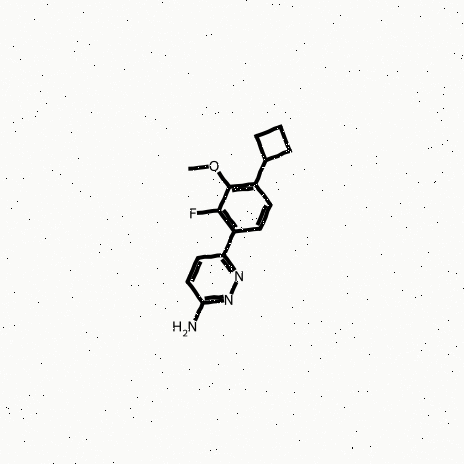 COc1c(C2CCC2)ccc(-c2ccc(N)nn2)c1F